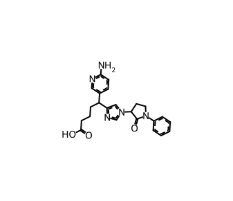 Nc1ccc(C(CCCC(=O)O)c2cn(C3CCN(c4ccccc4)C3=O)cn2)cn1